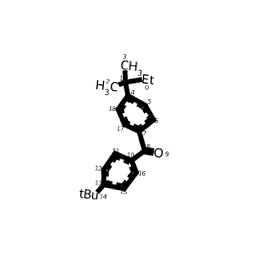 CCC(C)(C)c1ccc(C(=O)c2ccc(C(C)(C)C)cc2)cc1